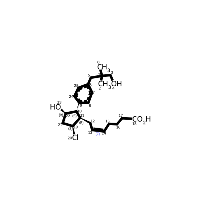 CC(C)(CO)Cc1ccc([C@@H]2[C@@H](C/C=C\CCCC(=O)O)[C@@H](Cl)C[C@H]2O)cc1